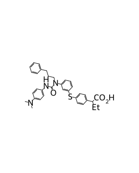 CCC(C(=O)O)c1ccc(Sc2cccc(N(CCCc3ccccc3)C(=O)Nc3ccc(N(C)C)cc3)c2)cc1